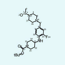 C[S+]([O-])N1CCN(Cc2ccc(NC3CCN(C(=O)OC(C)(C)C)CC3)c(F)c2)CC1